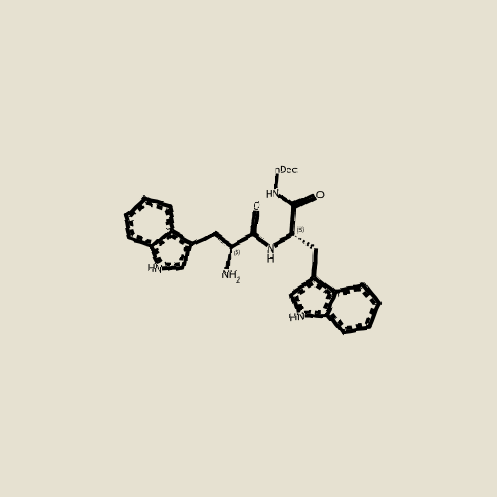 CCCCCCCCCCNC(=O)[C@H](Cc1c[nH]c2ccccc12)NC(=O)[C@@H](N)Cc1c[nH]c2ccccc12